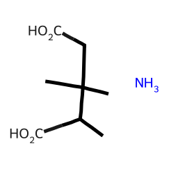 CC(C(=O)O)C(C)(C)CC(=O)O.N